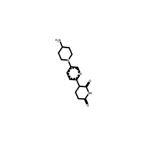 NC1CCN(c2ccc(C3CCC(=O)NC3=O)nc2)CC1